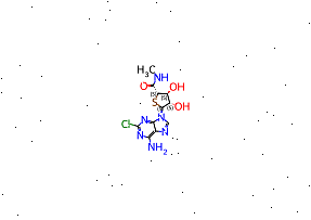 CNC(=O)[C@H]1S[C@H](n2cnc3c(N)nc(Cl)nc32)[C@@H](O)[C@@H]1O